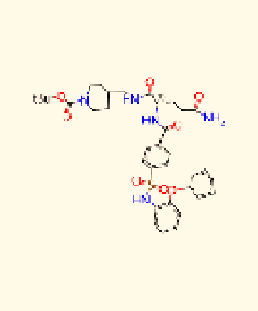 CC(C)(C)OC(=O)N1CCC(CNC(=O)[C@H](CCC(N)=O)NC(=O)c2ccc(S(=O)(=O)Nc3ccccc3Oc3ccccc3)cc2)CC1